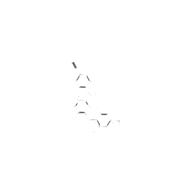 C#Cc1ccc(Nc2ncc(Br)c(Nc3c(C)cc(C(C)C)cc3C)n2)cc1